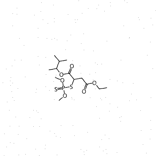 CCOC(=O)CC(SP(=S)(OC)OC)C(=O)OC(C)C(C)C